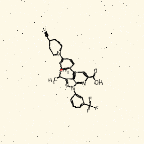 CC(C)c1nn(-c2cccc(C(F)(F)F)c2)c2nc(C(=O)O)cc(-c3ccc(N4CCC(C#N)CC4)cc3)c12